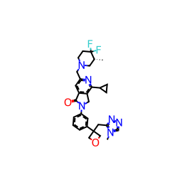 C[C@@H]1CN(Cc2cc3c(c(C4CC4)n2)CN(c2cccc(C4(Cc5nncn5C)COC4)c2)C3=O)CCC1(F)F